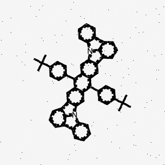 CC(C)(C)c1ccc(-c2c3cc4c5cccc6c7ccccc7n(c4cc3c(-c3ccc(C(C)(C)C)cc3)c3cc4c7cccc8c9ccccc9n(c4cc23)c87)c65)cc1